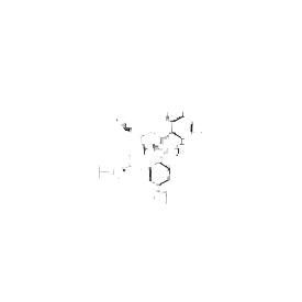 N#C[C@@H](OCCO)[C@@H]1COc2c(F)ccc(F)c2[C@H]1S(=O)(=O)c1ccc(Cl)cc1